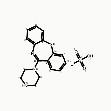 O=S(=O)(O)O.c1ccc2c(c1)N=C(N1CCNCC1)c1ccccc1S2